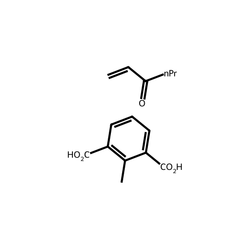 C=CC(=O)CCC.Cc1c(C(=O)O)cccc1C(=O)O